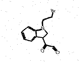 O=CC(=O)C1CN(CCBr)c2ccccc21